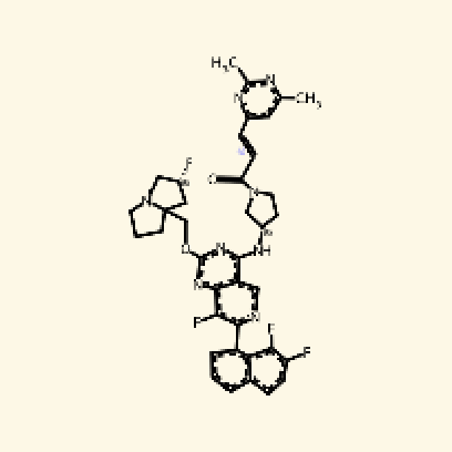 Cc1cc(/C=C/C(=O)N2CC[C@@H](Nc3nc(OCC45CCCN4C[C@H](F)C5)nc4c(F)c(-c5cccc6ccc(F)c(F)c56)ncc34)C2)nc(C)n1